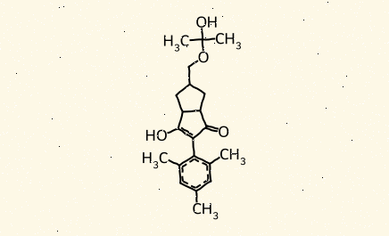 Cc1cc(C)c(C2=C(O)C3CC(COC(C)(C)O)CC3C2=O)c(C)c1